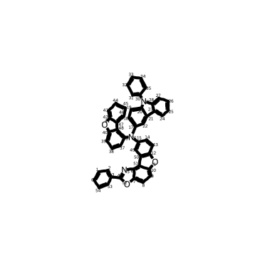 c1ccc(-c2nc3c(ccc4oc5ccc(N(c6ccc7c(c6)c6ccccc6n7-c6ccccc6)c6cccc7oc8ccccc8c67)cc5c43)o2)cc1